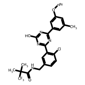 CCCOc1cc(C)cc(-c2nc(O)nc(-c3cc(CNC(=O)C(C)(C)C(F)(F)F)ccc3Cl)n2)c1